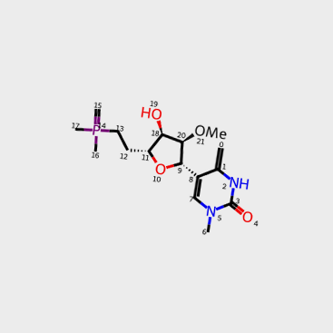 C=C1NC(=O)N(C)C=C1[C@@H]1O[C@H](CCP(=C)(C)C)[C@@H](O)[C@H]1OC